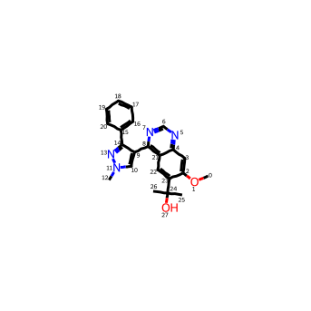 COc1cc2ncnc(-c3cn(C)nc3-c3ccccc3)c2cc1C(C)(C)O